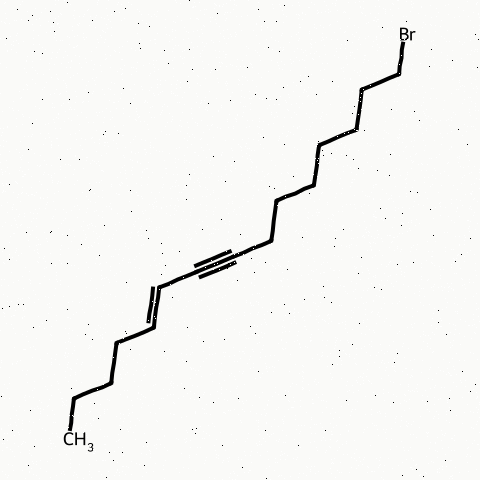 CCCCC=CC#CCCCCCCCBr